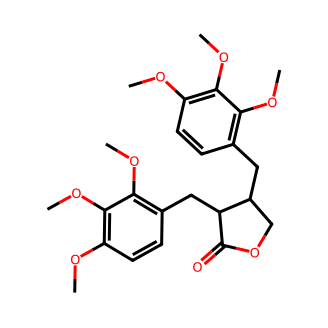 COc1ccc(CC2COC(=O)C2Cc2ccc(OC)c(OC)c2OC)c(OC)c1OC